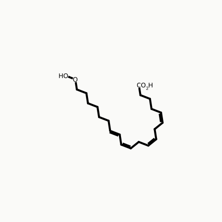 O=C(O)CCC/C=C\C/C=C\C/C=C\C=C\CCCCCCOO